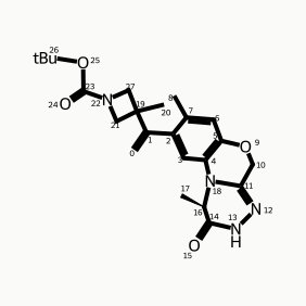 C=C(c1cc2c(cc1C)OCC1=NNC(=O)[C@@H](C)N12)C1(C)CN(C(=O)OC(C)(C)C)C1